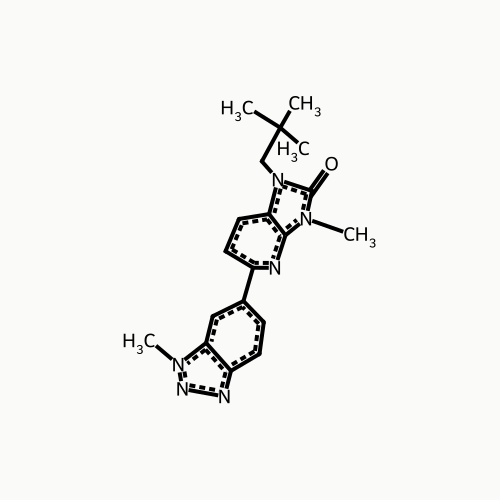 Cn1nnc2ccc(-c3ccc4c(n3)n(C)c(=O)n4CC(C)(C)C)cc21